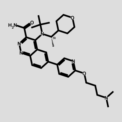 C[C@@H](C1CCOCC1)N(c1c(C(N)=O)nnc2ccc(-c3ccc(OCCCN(C)C)nc3)cc12)C(C)(C)C